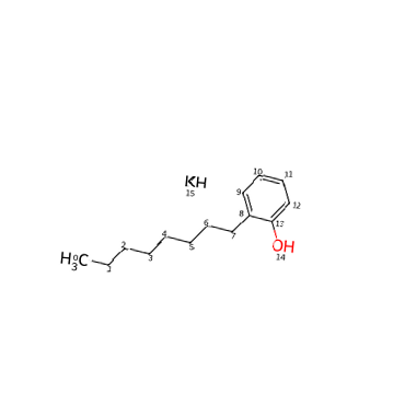 CCCCCCCCc1ccccc1O.[KH]